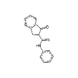 O=C1c2ccccc2CC1C(=S)Nc1ccccc1